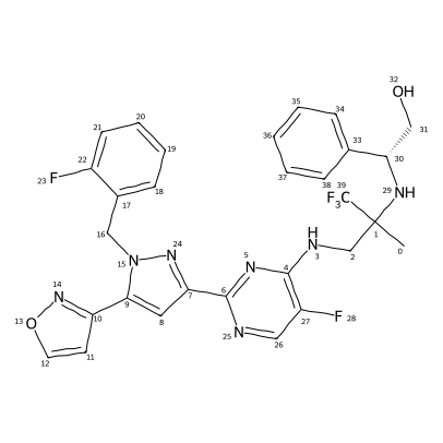 CC(CNc1nc(-c2cc(-c3ccon3)n(Cc3ccccc3F)n2)ncc1F)(N[C@@H](CO)c1ccccc1)C(F)(F)F